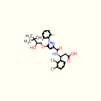 CC(C)(C)C(O)COc1cc(C(=O)NC(CC(=O)O)c2cccc(Cl)c2Cl)nn1-c1ccccc1F